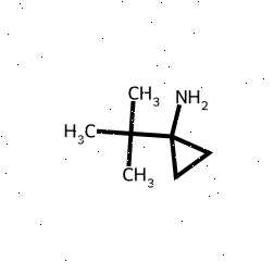 CC(C)(C)C1(N)CC1